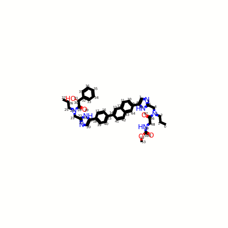 CCCN(Cc1ncc(-c2ccc3cc(-c4ccc(-c5cnc(CN(CCC)C(=O)[C@H](O)c6ccccc6)[nH]5)cc4)ccc3c2)[nH]1)C(=O)CNC(=O)OC